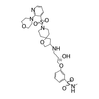 CNS(=O)(=O)c1cccc(OC[C@@H](O)CNC2COC3(CCN(S(=O)(=O)c4cccnc4N4CCOCC4)CC3)C2)c1